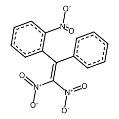 O=[N+]([O-])C(=C(c1ccccc1)c1ccccc1[N+](=O)[O-])[N+](=O)[O-]